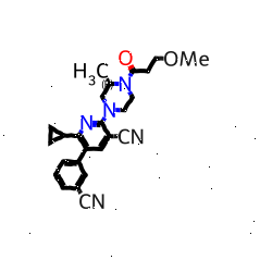 COCCC(=O)N1CCN(c2nc(C3CC3)c(-c3cccc(C#N)c3)cc2C#N)C[C@H]1C